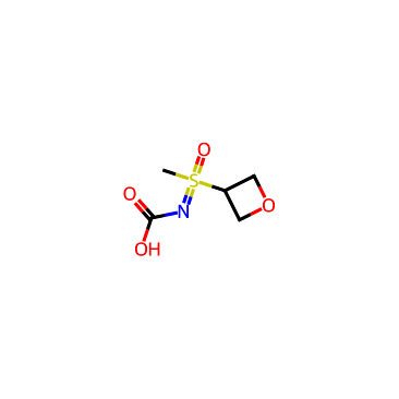 CS(=O)(=NC(=O)O)C1COC1